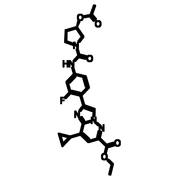 CCOC(=O)c1cc(C2CC2)c2nc(-c3ccc(NC(=O)N4CC[C@@H](OC(C)=O)C4)cc3F)cn2n1